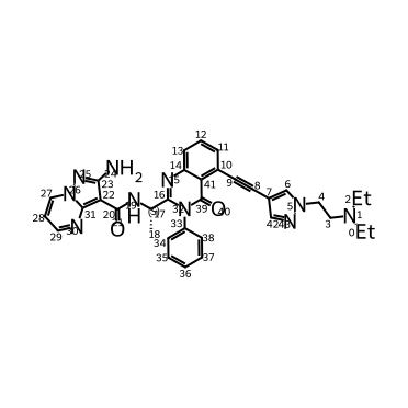 CCN(CC)CCn1cc(C#Cc2cccc3nc([C@H](C)NC(=O)c4c(N)nn5cccnc45)n(-c4ccccc4)c(=O)c23)cn1